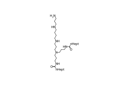 CCCCCCCC(=O)NCCCN(CCCNCCCCNCCCN)CCCNC(=O)CCCCCCC